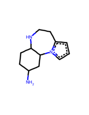 NC1CCC2NCCc3cccn3C2C1